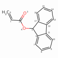 C=CC(=O)OC1c2ccccc2-c2ccccc21